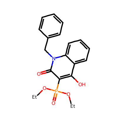 CCOP(=O)(OCC)c1c(O)c2ccccc2n(Cc2ccccc2)c1=O